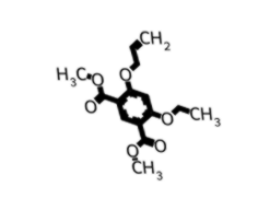 C=CCOc1cc(OCC)c(C(=O)OC)cc1C(=O)OC